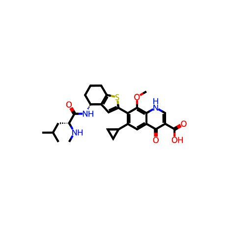 CN[C@H](CC(C)C)C(=O)N[C@@H]1CCCc2sc(-c3c(C4CC4)cc4c(=O)c(C(=O)O)c[nH]c4c3OC)cc21